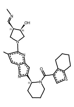 CN=C[C@@H]1CN(c2nc3cc([C@@H]4CCCCN4C(=O)c4csc5c4CCCC5)nn3cc2C)C[C@@H]1O